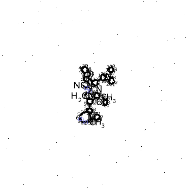 C=C/C(=C(C#N)\C(=C\C#N)n1c2ccc(-c3ccc4c(c3)c3ccccc3n4-c3ccccc3)cc2c2c3oc4ccccc4c3ccc21)n1c2ccc(-c3ccc4c(c3)CC/C=C\C=C/C(C)N4c3ccccc3)cc2c2c(Oc3ccccc3C)cccc21